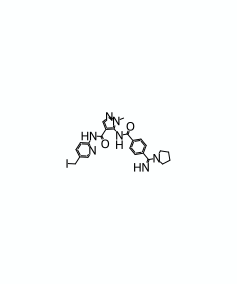 Cn1ncc(C(=O)Nc2ccc(CI)cn2)c1NC(=O)c1ccc(C(=N)N2CCCC2)cc1